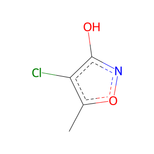 Cc1onc(O)c1Cl